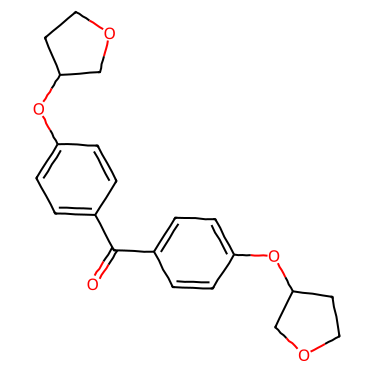 O=C(c1ccc(OC2CCOC2)cc1)c1ccc(OC2CCOC2)cc1